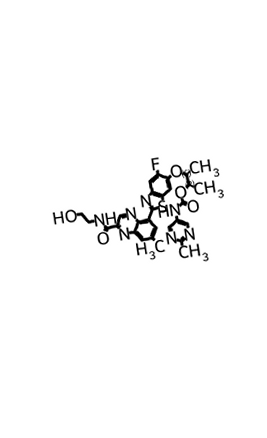 Cc1cc(-c2nc3cc(F)c(O[C@@H](C)[C@@H](C)OC(=O)Nc4cnc(C)nc4)cc3s2)c2ncc(C(=O)NCCO)nc2c1